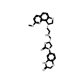 COc1ccc2ccc3c(c2n1)[C@@H](CCNC[C@@H]1CN(c2ccc4c(c2)NC(=O)CO4)C(=O)O1)CO3